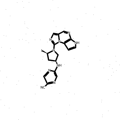 N#Cc1cnc(N[C@H]2C[C@@H](I)N(c3ncc4cnc5[nH]ccc5n34)C2)cn1